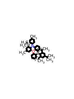 Cc1ccc2c(c1)[Si](C)(C)c1cc(C)ccc1N2c1cccc2c1Oc1ccccc1B2c1c(C(C)C)cc(C(C)C)cc1C(C)C